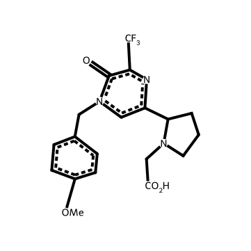 COc1ccc(Cn2cc(C3CCCN3CC(=O)O)nc(C(F)(F)F)c2=O)cc1